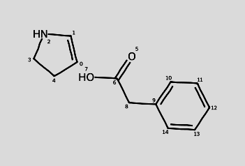 C1=CNCC1.O=C(O)Cc1ccccc1